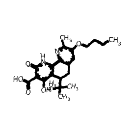 CCCCOc1cc2c(nc1C)-c1[nH]c(=O)c(C(=O)O)c(O)c1C(C(C)(C)C)C2